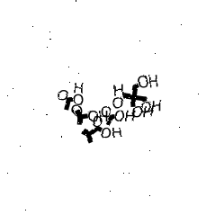 C=C(C)C(=O)O.CC(=O)O.CC(=O)O.CC(=O)O.OCC(CO)(CO)CO